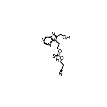 N#CCCO[PH](=S)OCCn1c(CO)nc2cncnc21